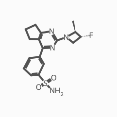 C[C@H]1[C@H](F)CN1c1nc2c(c(-c3cccc(S(N)(=O)=O)c3)n1)CCC2